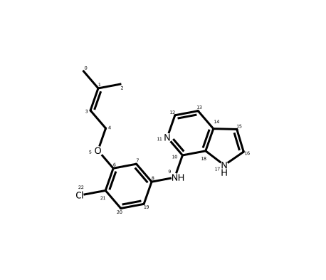 CC(C)=CCOc1cc(Nc2nccc3cc[nH]c23)ccc1Cl